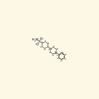 NS(=O)(=O)C1CCC(N2CCN(c3ccccn3)CC2)CC1